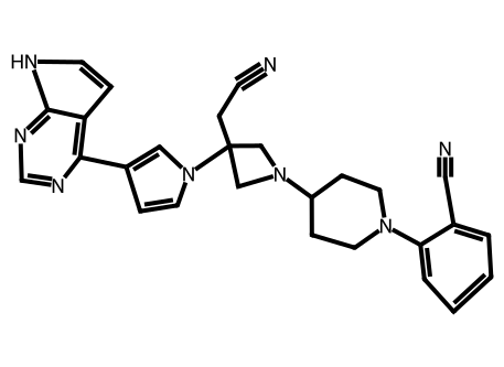 N#CCC1(n2ccc(-c3ncnc4[nH]ccc34)c2)CN(C2CCN(c3ccccc3C#N)CC2)C1